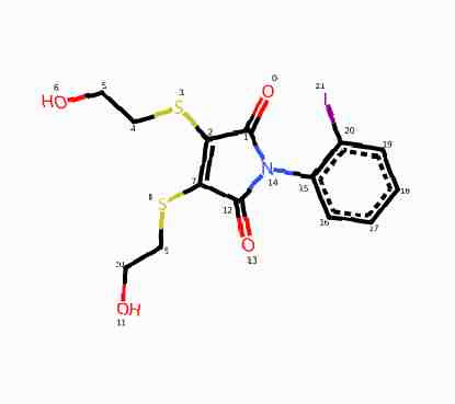 O=C1C(SCCO)=C(SCCO)C(=O)N1c1ccccc1I